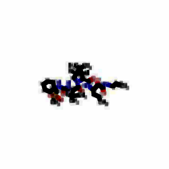 C=CCNC(=O)C(=O)C(CCC)NC(=O)[C@@H]1[C@@H]2[C@H](CN1C(=O)[C@@H](NC(=O)NC1(CS(C)(=O)=O)CCCCC1)C(C)(C)C)C2(C)C